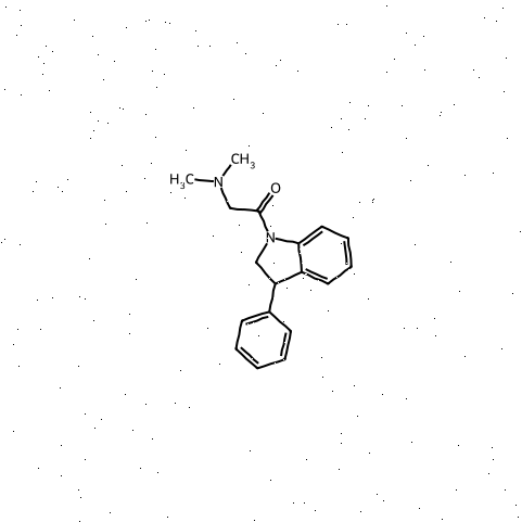 CN(C)CC(=O)N1CC(c2ccccc2)c2ccccc21